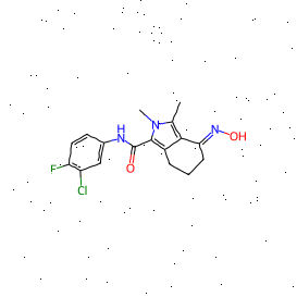 Cc1c2c(c(C(=O)Nc3ccc(F)c(Cl)c3)n1C)CCC/C2=N\O